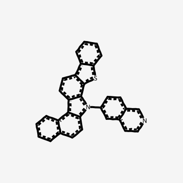 c1ccc2c(c1)ccc1c2c2ccc3c4ccccc4sc3c2n1-c1ccc2cnccc2c1